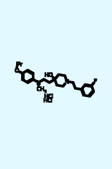 CC(C)Oc1ccc(N(C)CCC2(O)CCN(CCc3cccc(F)c3)CC2)cc1.Cl.Cl